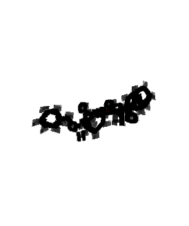 CC(C)(C)OC(=O)N1C2CCC1CC(NC(=O)[C@@H]1CC[C@@H]3CN1C(=O)N3OCc1ccccc1)C2